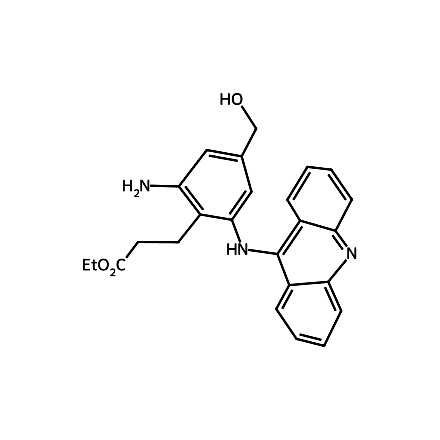 CCOC(=O)CCc1c(N)cc(CO)cc1Nc1c2ccccc2nc2ccccc12